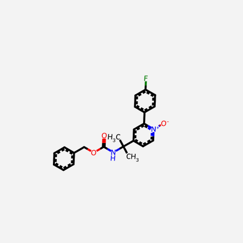 CC(C)(NC(=O)OCc1ccccc1)c1cc[n+]([O-])c(-c2ccc(F)cc2)c1